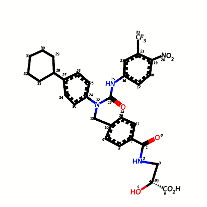 O=C(NC[C@@H](O)C(=O)O)c1ccc(CN(C(=O)Nc2ccc([N+](=O)[O-])c(C(F)(F)F)c2)c2ccc(C3CCCCC3)cc2)cc1